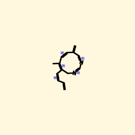 C=C\C=C/C1=C(C)/C=C\C(=C)/C=N\C=N/C1